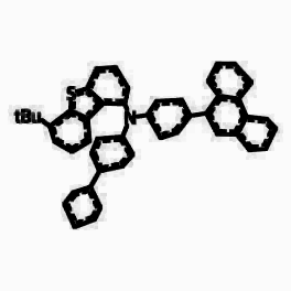 CC(C)(C)c1cccc2c1sc1cccc(N(c3ccc(-c4ccccc4)cc3)c3ccc(-c4cc5ccccc5c5ccccc45)cc3)c12